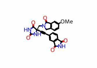 COc1ccc2c(c1)C(=O)N(C[C@@]1(C#Cc3ccc4c(c3)C(=O)NC4=O)NC(=O)NC1=O)C2